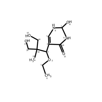 CCOC(C1=CNC(O)NC1=O)C(C)(CO)CO